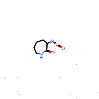 O=C=NC1CCCCNC1=O